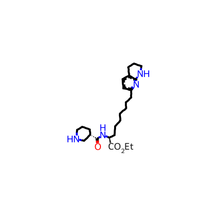 CCOC(=O)[C@H](CCCCCCCc1ccc2c(n1)NCCC2)NC(=O)[C@H]1CCCNC1